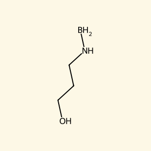 BNCCCO